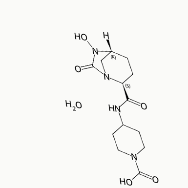 O.O=C(NC1CCN(C(=O)O)CC1)[C@@H]1CC[C@@H]2CN1C(=O)N2O